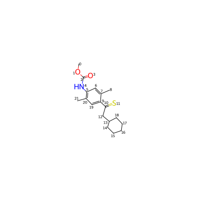 COC(=O)Nc1cc(C)c(C(=S)CC2CCCCC2)cc1C